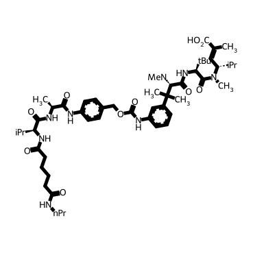 CCCNC(=O)CCCCC(=O)N[C@H](C(=O)N[C@@H](C)C(=O)Nc1ccc(COC(=O)Nc2cccc(C(C)(C)[C@H](NC)C(=O)N[C@H](C(=O)N(C)[C@H](/C=C(\C)C(=O)O)C(C)C)C(C)(C)C)c2)cc1)C(C)C